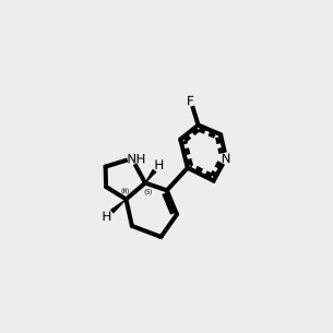 Fc1cncc(C2=CCC[C@@H]3CCN[C@H]23)c1